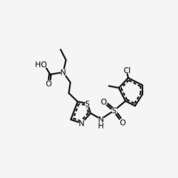 CCN(CCc1cnc(NS(=O)(=O)c2cccc(Cl)c2C)s1)C(=O)O